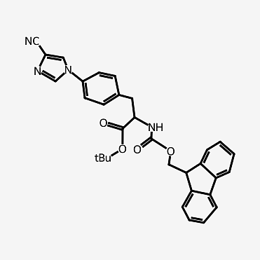 CC(C)(C)OC(=O)C(Cc1ccc(-n2cnc(C#N)c2)cc1)NC(=O)OCC1c2ccccc2-c2ccccc21